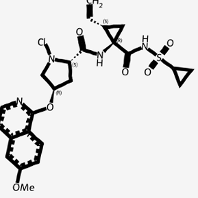 C=C[C@@H]1C[C@]1(NC(=O)[C@@H]1C[C@@H](Oc2nccc3cc(OC)ccc23)CN1Cl)C(=O)NS(=O)(=O)C1CC1